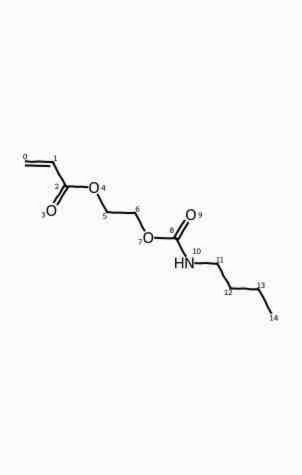 C=CC(=O)OCCOC(=O)NCCCC